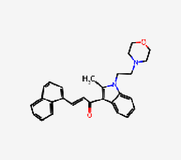 Cc1c(C(=O)C=Cc2cccc3ccccc23)c2ccccc2n1CCN1CCOCC1